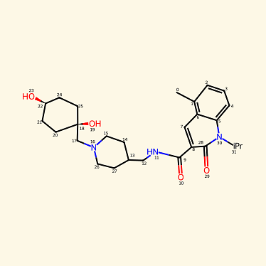 Cc1cccc2c1cc(C(=O)NCC1CCN(C[C@]3(O)CC[C@@H](O)CC3)CC1)c(=O)n2C(C)C